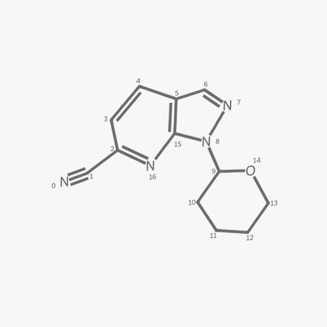 N#Cc1ccc2cnn(C3CCCCO3)c2n1